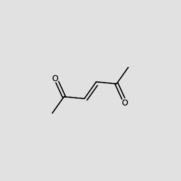 CC(=O)C=CC(C)=O